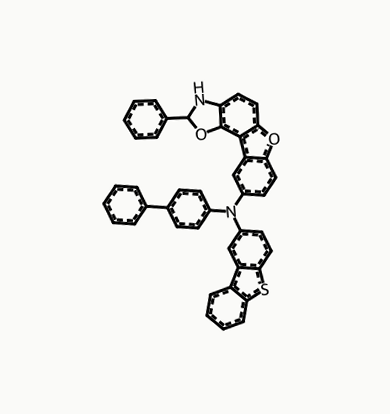 c1ccc(-c2ccc(N(c3ccc4sc5ccccc5c4c3)c3ccc4oc5ccc6c(c5c4c3)OC(c3ccccc3)N6)cc2)cc1